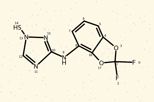 FC1(F)Oc2cccc(Nc3ncn(S)n3)c2O1